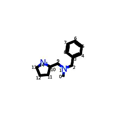 CN(Cc1ccccc1)CC1CCC[N]1